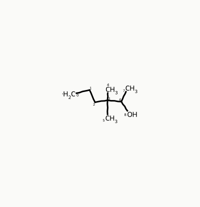 [CH2]CCC(C)(C)C(C)O